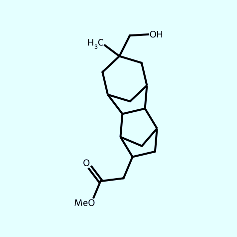 COC(=O)CC1CC2CC1C1C3CC(CC(C)(CO)C3)C21